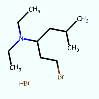 Br.CCN(CC)C(CCBr)CC(C)C